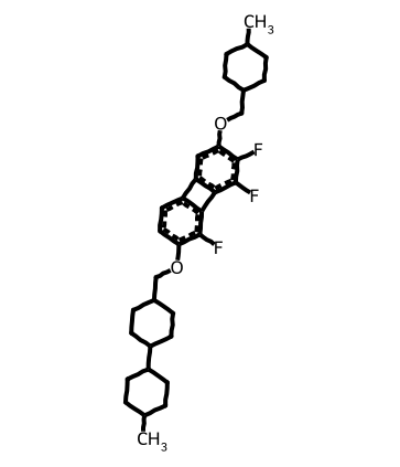 CC1CCC(COc2cc3c(c(F)c2F)-c2c-3ccc(OCC3CCC(C4CCC(C)CC4)CC3)c2F)CC1